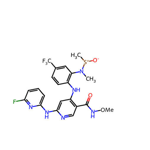 CONC(=O)c1cnc(Nc2cccc(F)n2)cc1Nc1ccc(C(F)(F)F)cc1N(C)[S+](C)[O-]